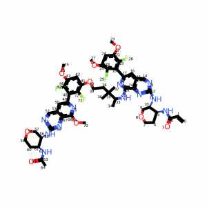 C=CC(=O)N[C@H]1CCOC[C@H]1Nc1ncc2cc(-c3c(F)c(OC)cc(OC)c3F)nc(NC(C)C(C)(C)CCOc3cc(OC)c(F)c(-c4cc5cnc(N[C@@H]6COCC[C@@H]6NC(C)=O)nc5c(OC)n4)c3F)c2n1